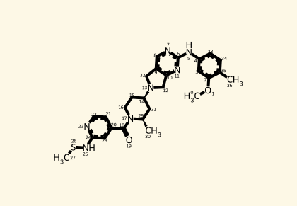 COc1cc(Nc2ncc3c(n2)CN([C@@H]2CCN(C(=O)c4ccnc(NSC)c4)[C@H](C)C2)C3)ccc1C